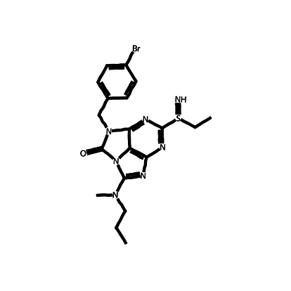 CCCN(C)c1nc2nc(S(=N)CC)nc3c2n1c(=O)n3Cc1ccc(Br)cc1